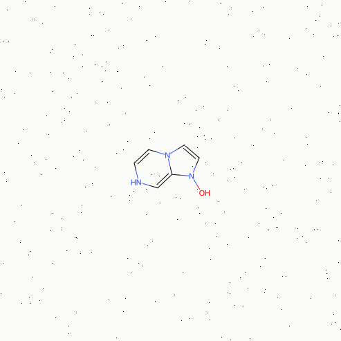 ON1C=CN2C=CNC=C12